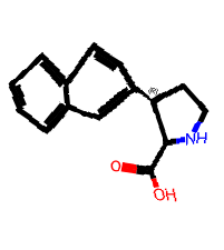 O=C(O)C1NCC[C@@H]1c1ccc2ccccc2c1